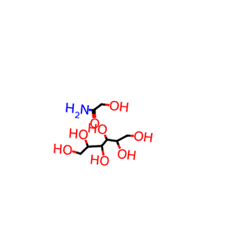 NC(=O)CO.OCC(O)C(O)C(O)C(O)CO